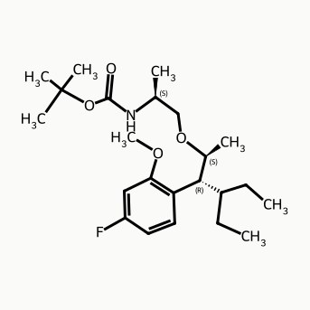 CCC(CC)[C@H](c1ccc(F)cc1OC)[C@H](C)OC[C@H](C)NC(=O)OC(C)(C)C